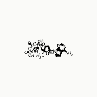 C[C@]1(COP(=O)(O)OP(=O)(O)OP(=O)(O)O)O[C@@H](n2ccc3c(N)ncnc32)C[C@@H]1O